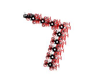 O=C([O-])c1cc(O)c(O)c(O)c1.O=C([O-])c1cc(O)c(O)c(O)c1.O=C([O-])c1cc(O)c(O)c(O)c1.O=C([O-])c1cc(O)c(O)c(O)c1.O=C([O-])c1cc(O)c(O)c(O)c1.O=C([O-])c1cc(O)c(O)c(O)c1.O=C([O-])c1cc(O)c(O)c(O)c1.O=C([O-])c1cc(O)c(O)c(O)c1.O=C([O-])c1cc(O)c(O)c(O)c1.[Al+3].[Ga+3].[Gd+3]